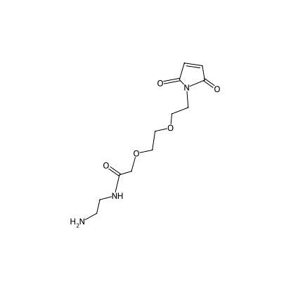 NCCNC(=O)COCCOCCN1C(=O)C=CC1=O